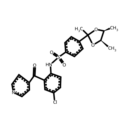 C[C@@H]1OC(C)(c2ccc(S(=O)(=O)Nc3ccc(Cl)cc3C(=O)c3ccncc3)cc2)O[C@@H]1C